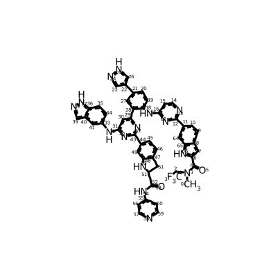 CN(CC(F)(F)F)C(=O)c1cc2ccc(-c3nccc(Nc4ccc(-c5cn[nH]c5)cc4-c4cc(Nc5ccc6[nH]ncc6c5)nc(-c5ccc6c(c5)NC(C(=O)Nc5ccncc5)C6)n4)n3)cc2[nH]1